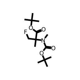 CN(C(=O)OC(C)(C)C)C(C)(CF)C(=O)OC(C)(C)C